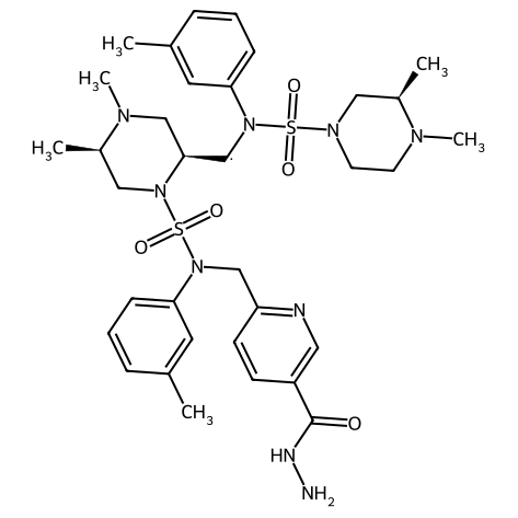 Cc1cccc(N([CH][C@@H]2CN(C)[C@H](C)CN2S(=O)(=O)N(Cc2ccc(C(=O)NN)cn2)c2cccc(C)c2)S(=O)(=O)N2CCN(C)[C@H](C)C2)c1